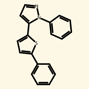 c1ccc(-c2ccc(-c3ccnn3-c3ccccc3)s2)cc1